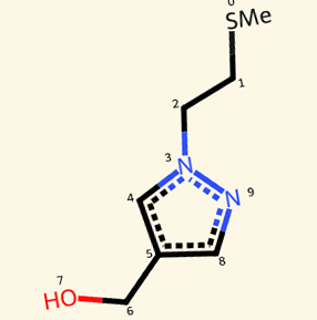 CSCCn1cc(CO)cn1